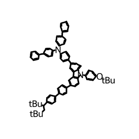 CC(C)(C)CC(c1ccc(-c2ccc(-c3ccc4c(c3)c3cc(-c5ccc(N(c6ccc(-c7ccccc7)cc6)c6ccc(-c7ccccc7)cc6)cc5)ccc3n4-c3ccc(OC(C)(C)C)cc3)cc2)cc1)C(C)(C)C